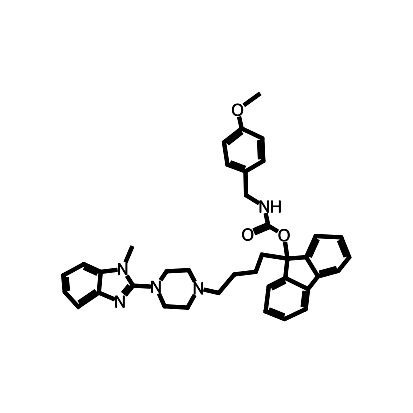 COc1ccc(CNC(=O)OC2(CCCCN3CCN(c4nc5ccccc5n4C)CC3)c3ccccc3-c3ccccc32)cc1